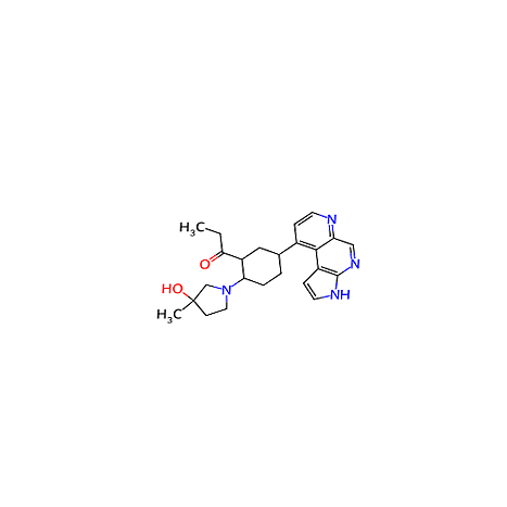 CCC(=O)C1CC(c2ccnc3cnc4[nH]ccc4c23)CCC1N1CCC(C)(O)C1